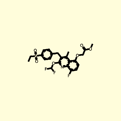 CCS(=O)(=O)c1ccc(Cc2c(OC(F)F)nc3c(F)ccc(OCC(=O)OC)c3c2C)cc1